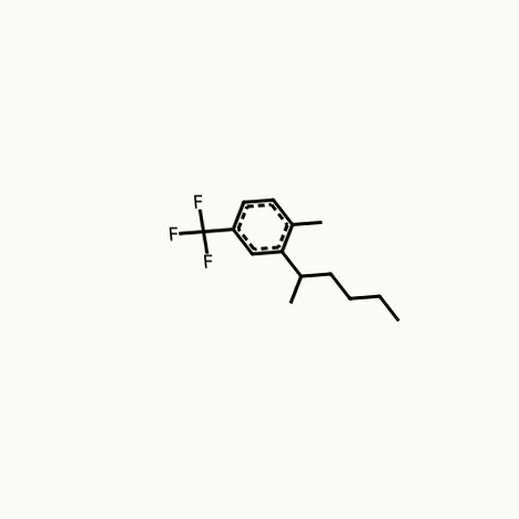 CCCCC(C)c1cc(C(F)(F)F)ccc1C